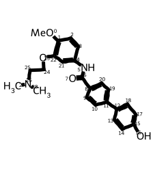 COc1ccc(NC(=O)c2ccc(-c3ccc(O)cc3)cc2)cc1OCCN(C)C